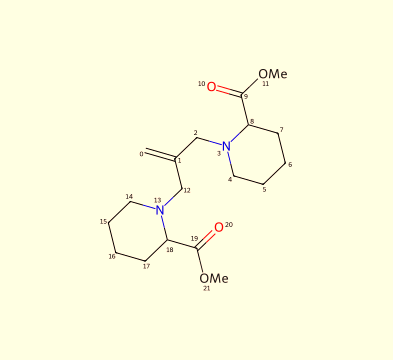 C=C(CN1CCCCC1C(=O)OC)CN1CCCCC1C(=O)OC